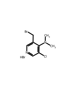 Br.CN(C)c1c(Cl)cncc1CBr